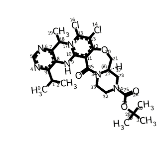 CC(C)c1ncnc2c1Nc1c3c(c(Cl)c(Cl)[n+]1C2C)OC[C@H]1CN(C(=O)OC(C)(C)C)CCN1C3=O